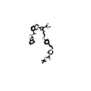 COC(=O)c1nc(N2CCc3cccc(C(=O)Nc4nc5ccccc5s4)c3C2)sc1CCCOc1ccc(C#CCN2CCN(C(=O)OC(C)(C)C)CC2)cc1